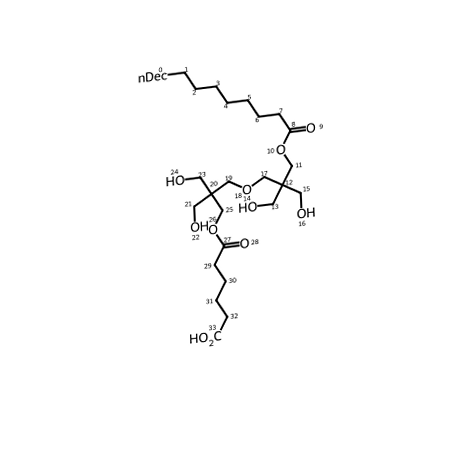 CCCCCCCCCCCCCCCCCC(=O)OCC(CO)(CO)COCC(CO)(CO)COC(=O)CCCCC(=O)O